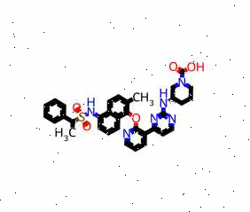 Cc1ccc2c(NS(=O)(=O)C(C)c3ccccc3)cccc2c1Oc1ncccc1-c1ccnc(N[C@H]2CCCN(C(=O)O)C2)n1